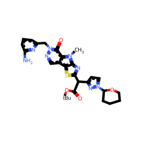 Cn1c2nc(C(C(=O)OC(C)(C)C)c3ccn(C4CCCCO4)n3)sc2c2cnn(Cc3cccc(N)n3)c(=O)c21